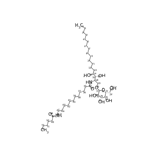 CCCCCCCCCCCCCCC(O)C(O)C(CO[C@H]1O[C@H](CO)[C@H](O)[C@H](O)[C@H]1O)NC(=O)CCCCCCCCCCCNC(=O)CCCCC